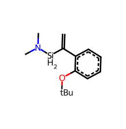 C=C([SiH2]N(C)C)c1ccccc1OC(C)(C)C